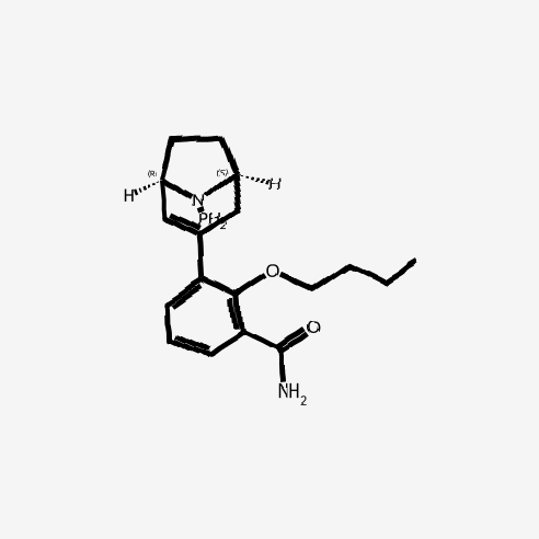 CCCCOc1c(C(N)=O)cccc1C1=C[C@H]2CC[C@@H](C1)N2P